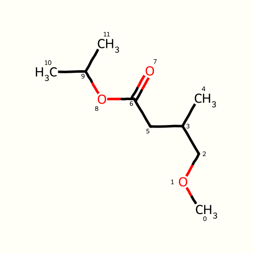 COCC(C)CC(=O)OC(C)C